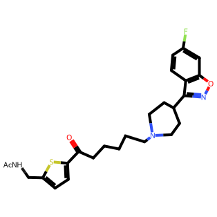 CC(=O)NCc1ccc(C(=O)CCCCCN2CCC(c3noc4cc(F)ccc34)CC2)s1